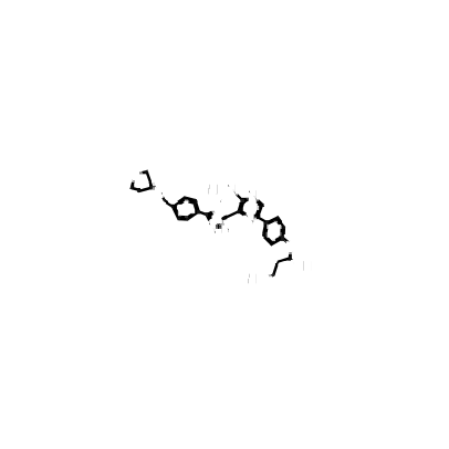 CC(CCO)Sc1ccc(-c2cnc(N)c(-c3nnc(-c4ccc(CNC5CCOC5)cc4)o3)n2)cc1